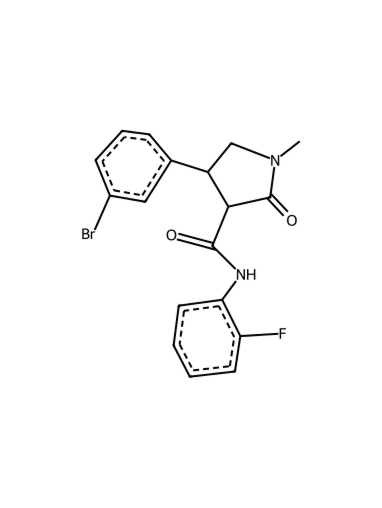 CN1CC(c2cccc(Br)c2)C(C(=O)Nc2ccccc2F)C1=O